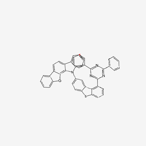 c1ccc(-c2nc(-c3ccccc3)nc(-c3cccc4sc5ccc(-n6c7ccccc7c7ccc8c9ccccc9oc8c76)cc5c34)n2)cc1